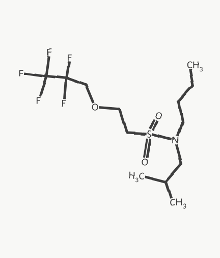 CCCCN(CC(C)C)S(=O)(=O)CCOCC(F)(F)C(F)(F)F